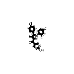 Cc1c(C(=O)c2cnc(O)nc2)nn(-c2ccc(Cl)cc2Cl)c1-c1ccc(Cl)cc1